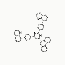 c1cnc2c(-c3ccc(-c4cc(-c5cc6ccccc6c6ccccc56)nc(-c5ccc(-c6cccc7cccnc67)cc5)n4)cc3)cccc2c1